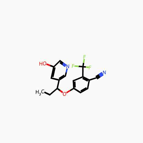 CCC(Oc1ccc(C#N)c(C(F)(F)F)c1)c1cncc(O)c1